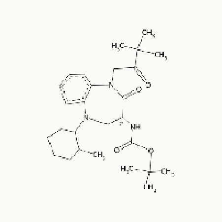 CC1CCCCC1N1C[C@@H](NC(=O)OC(C)(C)C)C(=O)N(CC(=O)C(C)(C)C)c2ccccc21